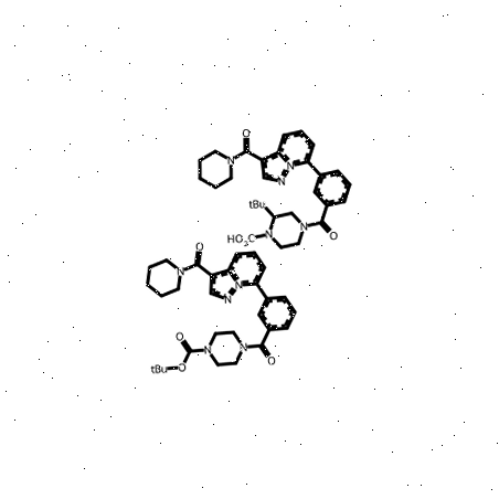 CC(C)(C)C1CN(C(=O)c2cccc(-c3cccc4c(C(=O)N5CCCCC5)cnn34)c2)CCN1C(=O)O.CC(C)(C)OC(=O)N1CCN(C(=O)c2cccc(-c3cccc4c(C(=O)N5CCCCC5)cnn34)c2)CC1